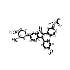 COc1ccc(-c2c(-c3ccnc(NC(C)=O)c3)[nH]c3cc(N4CC[C@H](O)[C@@H](O)C4)cnc23)nc1